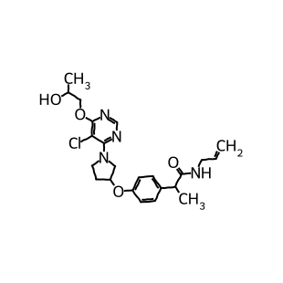 C=CCNC(=O)C(C)c1ccc(OC2CCN(c3ncnc(OCC(C)O)c3Cl)C2)cc1